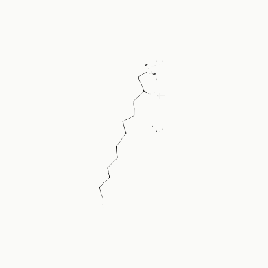 CCCCCCCCCCC(O)CS(=O)(=O)[O-].[Na+]